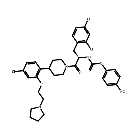 O=C(N[C@H](Cc1ccc(Cl)cc1Cl)C(=O)N1CCC(c2ccc(Cl)cc2OCCN2CCCC2)CC1)Oc1ccc([N+](=O)[O-])cc1